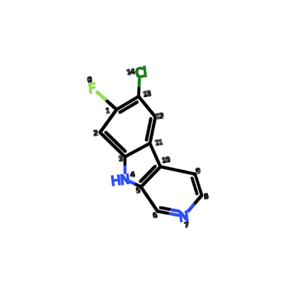 Fc1cc2[nH]c3cnccc3c2cc1Cl